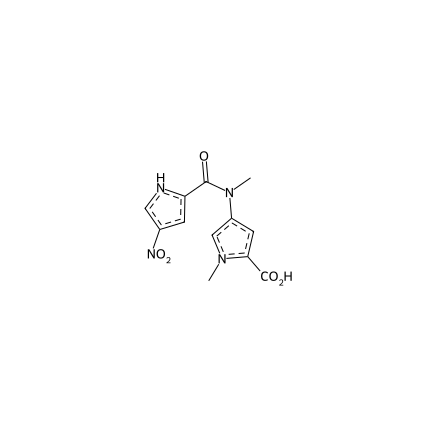 CN(C(=O)c1cc([N+](=O)[O-])c[nH]1)c1cc(C(=O)O)n(C)c1